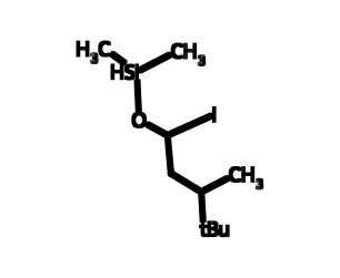 CC(CC(I)O[SiH](C)C)C(C)(C)C